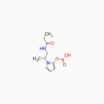 CCC(=O)NCC(C)n1cccc1OC(=O)O